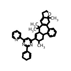 CC1CC2c3ccccc3C3=C(C=C4CCOC4(C)C3)C(C)(C)C2C=C1c1cc(-c2ccccn2)nc(C2=CCCC=C2)n1